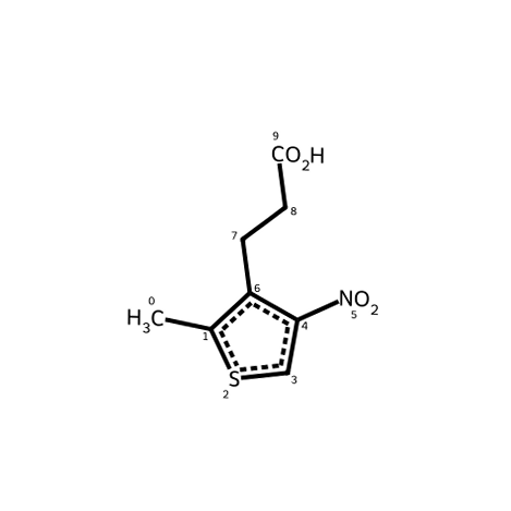 Cc1scc([N+](=O)[O-])c1CCC(=O)O